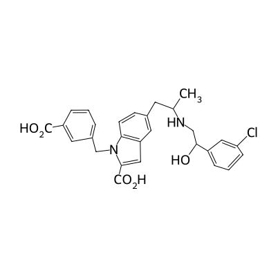 CC(Cc1ccc2c(c1)cc(C(=O)O)n2Cc1cccc(C(=O)O)c1)NCC(O)c1cccc(Cl)c1